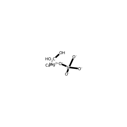 O=C(O)O.[Ca+2].[Mg+2].[O-][Si]([O-])([O-])[O-]